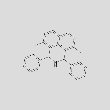 Cc1ccc2ccc(C)c3c2c1C(c1ccccc1)NC3c1ccccc1